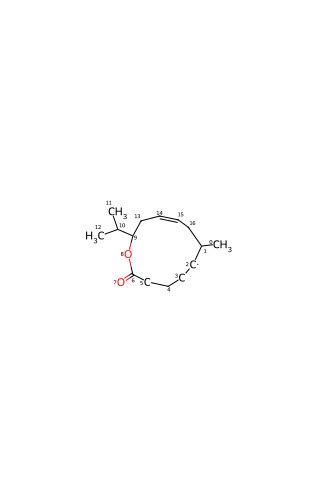 CC1[CH]CCCC(=O)OC(C(C)C)CC=CC1